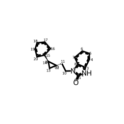 O=c1[nH]c2ccccc2n1CC[C@@H]1C[C@H]1c1ccccc1